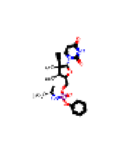 C#C[C@@]1(OC(C)=O)[C@H](OC(C)=O)C(COP(=O)(N[C@@H](C)C(=O)OCC)Oc2ccccc2)O[C@H]1n1ccc(=O)[nH]c1=O